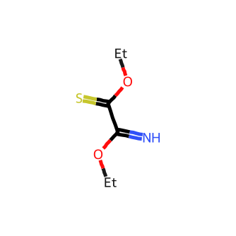 CCOC(=N)C(=S)OCC